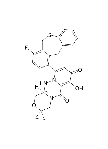 O=C1c2c(O)c(=O)cc(-c3ccc(F)c4c3Cc3ccccc3SC4)n2N[C@@H]2COC3(CC3)CN12